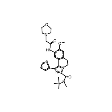 COc1cc2c(cc1NC(=O)CN1CCOCC1)-c1c(-c3cccs3)nc(C(=O)N(C)C(C)(C)C)n1CC2